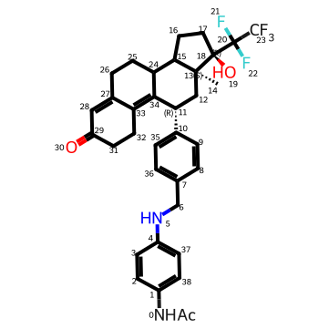 CC(=O)Nc1ccc(NCc2ccc([C@H]3C[C@@]4(C)C(CC[C@]4(O)C(F)(F)C(F)(F)F)C4CCC5=CC(=O)CCC5=C43)cc2)cc1